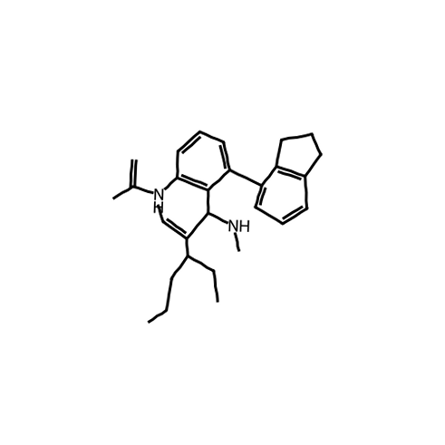 C=C(C)Nc1cccc(-c2cccc3c2CCC3)c1C(NC)/C(=C\C)C(CC)CCC